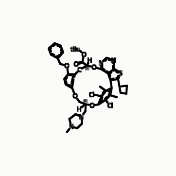 Cc1c(Cl)c2c(Cl)c(C)c1-c1c(C3CCC3)sc3ncnc(c13)O[C@@H](C(=O)OC(C)(C)C)Cc1cc(ccc1OCc1ccccc1)OC[C@@H](CN1CCN(C)CC1)O2